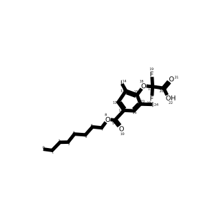 CCCCCCCCOC(=O)c1cc(I)c(OC(F)(F)C(=O)O)c(I)c1